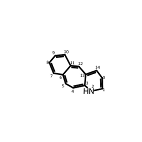 C1=CNC2=CC=c3ccccc3=CC2=C1